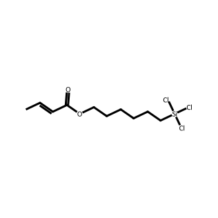 CC=CC(=O)OCCCCCC[Si](Cl)(Cl)Cl